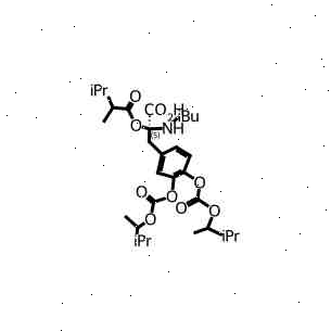 CCC(C)N[C@@](Cc1ccc(OC(=O)OC(C)C(C)C)c(OC(=O)OC(C)C(C)C)c1)(OC(=O)C(C)C(C)C)C(=O)O